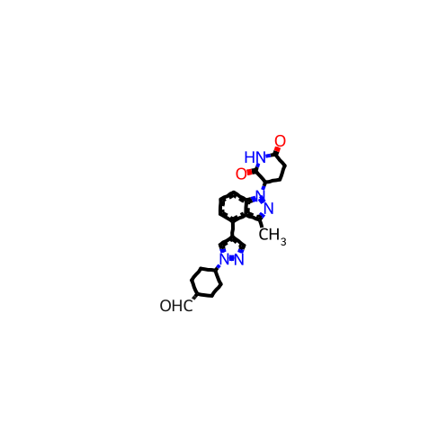 Cc1nn(C2CCC(=O)NC2=O)c2cccc(-c3cnn(C4CCC(C=O)CC4)c3)c12